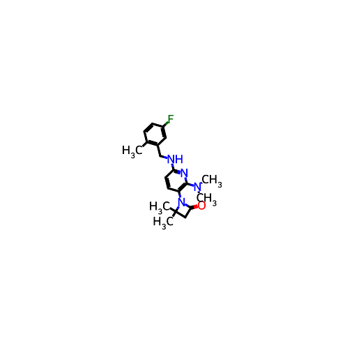 Cc1ccc(F)cc1CNc1ccc(N2C(=O)CC2(C)C)c(N(C)C)n1